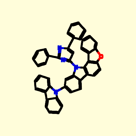 c1ccc(-c2cc(-n3c4cc(-n5c6ccccc6c6ccccc65)ccc4c4ccc5oc6ccccc6c5c43)nc(-c3ccccc3)n2)cc1